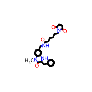 CN(C(=O)C(N)Cc1ccccc1)c1ccc(CNC(=O)CCCCCN2C(=O)C=CC2=O)cc1